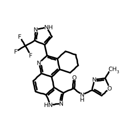 Cc1nc(NC(=O)c2n[nH]c3ccc4nc(-c5c[nH]nc5C(F)(F)F)c5c(c4c23)CCCC5)co1